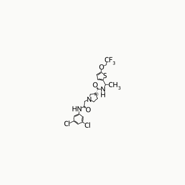 CC(NC(=O)[C@@H]1CCN(CC(=O)Nc2cc(Cl)cc(Cl)c2)C1)c1ccc(OCC(F)(F)F)s1